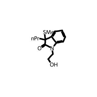 CCCC1(SC)C(=O)N(CCO)c2ccccc21